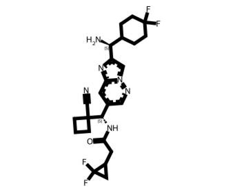 N#CC1([C@@H](NC(=O)CC2CC2(F)F)c2cnn3cc([C@@H](N)C4CCC(F)(F)CC4)nc3c2)CCC1